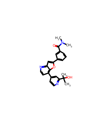 CN(C)C(=O)c1cccc(-c2cc3nccc(-c4ccnc(C(C)(C)O)c4)c3o2)c1